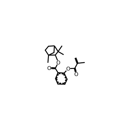 C=C(C)C(=O)Oc1ccccc1C(=O)OC1C2(C)CCC(C2)C1(C)C